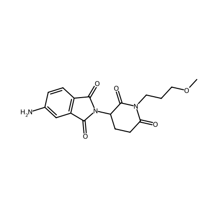 COCCCN1C(=O)CCC(N2C(=O)c3ccc(N)cc3C2=O)C1=O